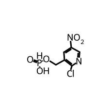 O=[N+]([O-])c1cnc(Cl)c(CO[PH](=O)O)c1